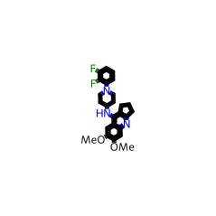 COc1cc2nc3c(c(NC4CCN(c5cccc(F)c5F)CC4)c2cc1OC)CCC3